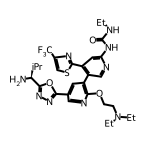 CCNC(=O)Nc1cc(-c2nc(C(F)(F)F)cs2)c(-c2cc(-c3nnc([C@@H](N)C(C)C)o3)cnc2OCCN(CC)CC)cn1